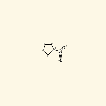 B#S(=O)C1CCCC1